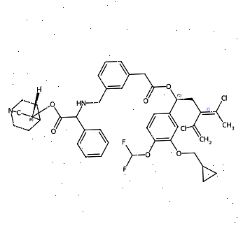 C=C(Cl)/C(C[C@H](OC(=O)Cc1cccc(CNC(C(=O)O[C@H]2CN3CCC2CC3)c2ccccc2)c1)c1ccc(OC(F)F)c(OCC2CC2)c1)=C(\C)Cl